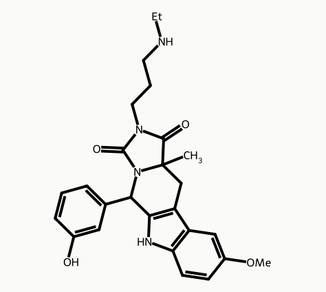 CCNCCCN1C(=O)N2C(c3cccc(O)c3)c3[nH]c4ccc(OC)cc4c3CC2(C)C1=O